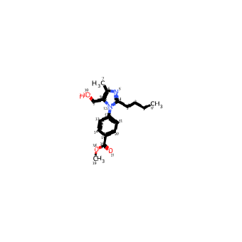 CCCCc1nc(C)c(CO)n1-c1ccc(C(=O)OC)cc1